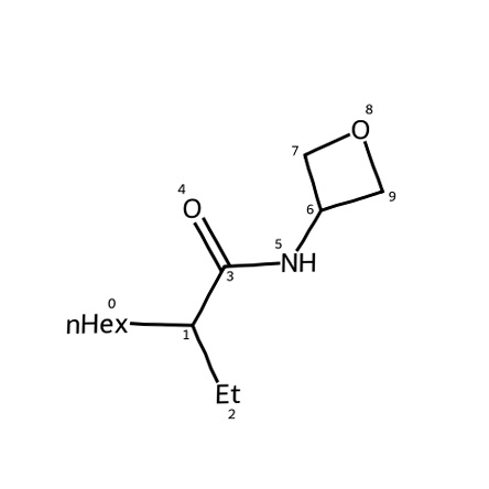 CCCCCCC(CC)C(=O)NC1COC1